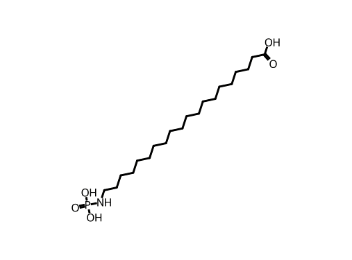 O=C(O)CCCCCCCCCCCCCCCCCCCNP(=O)(O)O